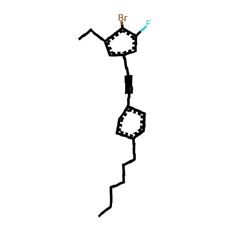 CCCCCCc1ccc(C#Cc2cc(F)c(Br)c(CC)c2)cc1